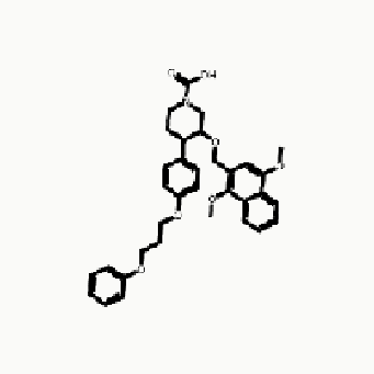 COc1cc(COC2CN(C(=O)O)CCC2c2ccc(OCCCOc3ccccc3)cc2)c(OC)c2ccccc12